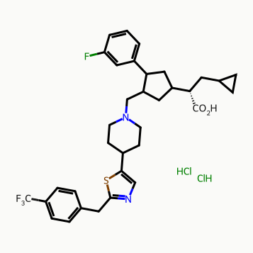 Cl.Cl.O=C(O)[C@@H](CC1CC1)C1CC(CN2CCC(c3cnc(Cc4ccc(C(F)(F)F)cc4)s3)CC2)C(c2cccc(F)c2)C1